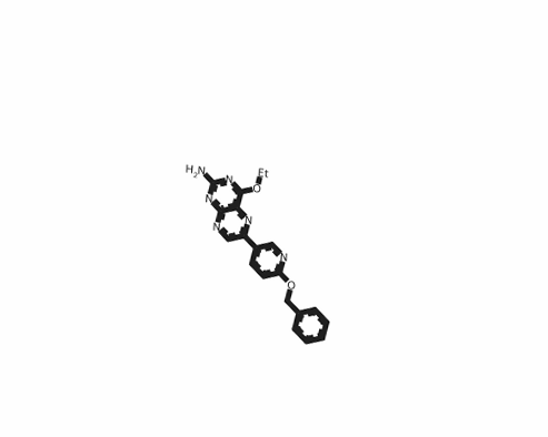 CCOc1nc(N)nc2ncc(-c3ccc(OCc4ccccc4)nc3)nc12